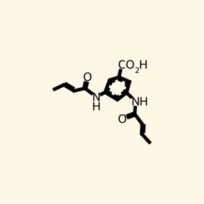 CC=CC(=O)Nc1cc(NC(=O)C=CC)cc(C(=O)O)c1